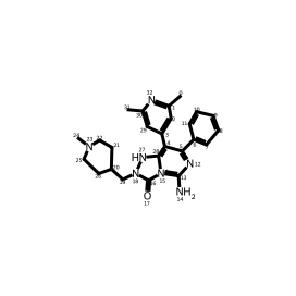 Cc1cc(-c2c(-c3ccccc3)nc(N)[n+]3c(=O)n(CC4CCN(C)CC4)[nH]c23)cc(C)n1